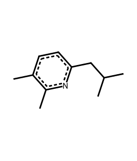 Cc1ccc(CC(C)C)nc1C